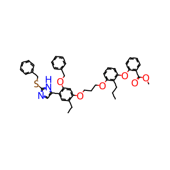 CCCc1c(OCCCOc2cc(OCc3ccccc3)c(-c3cnc(SCc4ccccc4)[nH]3)cc2CC)cccc1Oc1ccccc1C(=O)OC